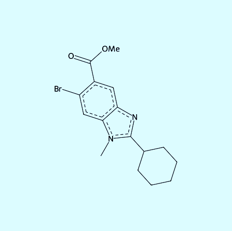 COC(=O)c1cc2nc(C3CCCCC3)n(C)c2cc1Br